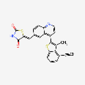 C#Cc1cccc2sc(-c3ccnc4ccc(/C=C5\SC(=O)NC5=O)cc34)c(C)c12